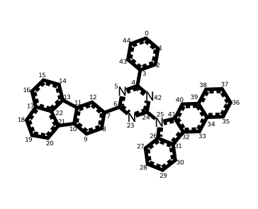 c1ccc(-c2nc(-c3ccc4c(c3)-c3cccc5cccc-4c35)nc(-n3c4ccccc4c4cc5ccccc5cc43)n2)cc1